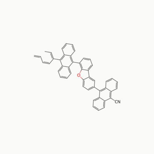 C=C/C=C\C(=C/C)c1c2ccccc2c(-c2cccc3c2oc2ccc(-c4c5ccccc5c(C#N)c5ccccc45)cc23)c2ccccc12